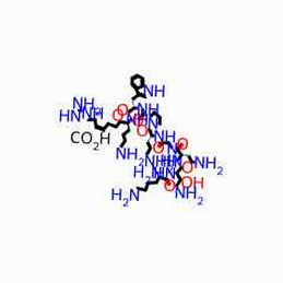 N=C(N)NCC/C=C(\CCC(=O)[C@H](CCCCN)NC(=O)[C@H](Cc1c[nH]c2ccccc12)NC(=O)[C@@H]1CCCN1C(=O)[C@@H](CCCN)NC(=O)CNC(=O)[C@H](CCN)NC(=O)[C@@H](NC(=O)[C@@H](N)CCCCN)[C@@H](O)CN)C(=O)O